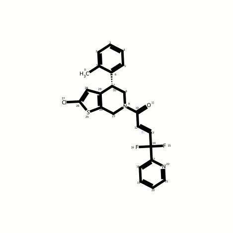 Cc1ccccc1[C@@H]1CN(C(=O)/C=C/C(F)(F)c2ccccn2)Cc2sc(Cl)cc21